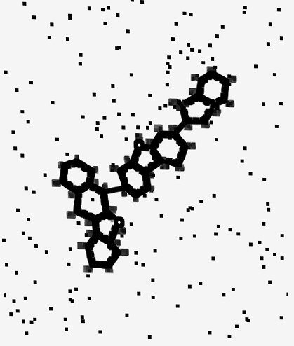 c1ccc2c(-c3ccc4c(c3)oc3cc(-c5cn6ccccc6n5)ccc34)c3oc4ccccc4c3cc2c1